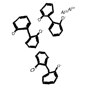 [Al+3].[Al+3].[O-]c1ccccc1-c1ccccc1[O-].[O-]c1ccccc1-c1ccccc1[O-].[O-]c1ccccc1-c1ccccc1[O-]